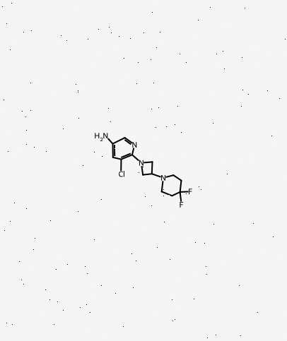 Nc1cnc(N2CC(N3CCC(F)(F)CC3)C2)c(Cl)c1